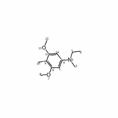 CCN(C)c1cc(OC)c(C)c(OC)c1